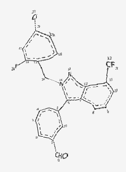 O=Cc1cccc(-c2c3cccc(C(F)(F)F)c3nn2Cc2ccc(Cl)cc2F)c1